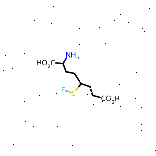 NC(CCC(CCC(=O)O)SF)C(=O)O